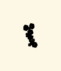 CC1(C)c2cc(/C=C3/C(=O)C4=C(CCC=C4)C3=O)ccc2-c2ccc(N(c3ccccc3)C3C=CC=CC3)cc21